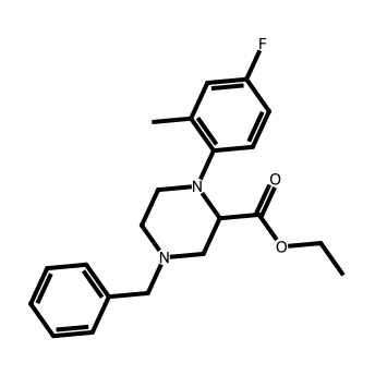 CCOC(=O)C1CN(Cc2ccccc2)CCN1c1ccc(F)cc1C